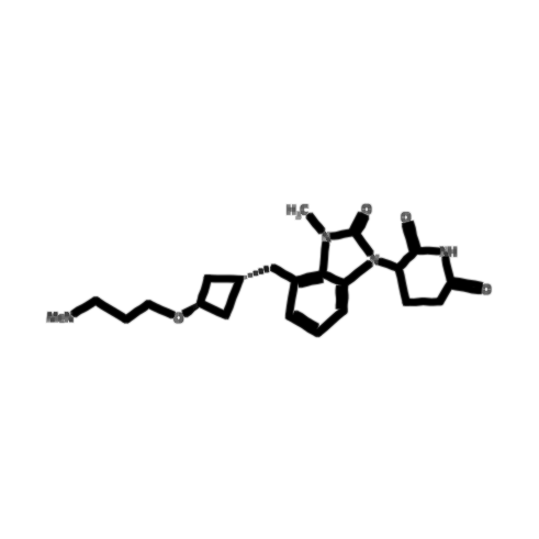 CNCCCO[C@H]1C[C@H](Cc2cccc3c2n(C)c(=O)n3C2CCC(=O)NC2=O)C1